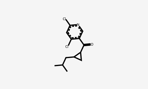 CC(C)CC1CC1C(=O)c1cnc(Cl)cc1Cl